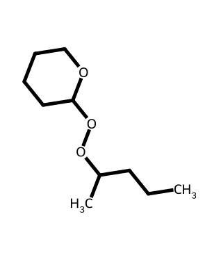 CCCC(C)OOC1CCCCO1